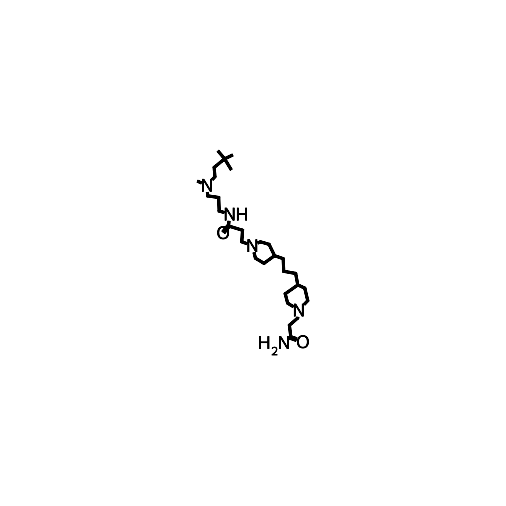 CN(CCCNC(=O)CCN1CCC(CCCC2CCN(CCC(N)=O)CC2)CC1)CCC(C)(C)C